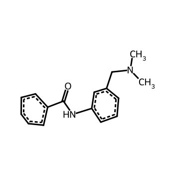 CN(C)Cc1cccc(NC(=O)c2ccccc2)c1